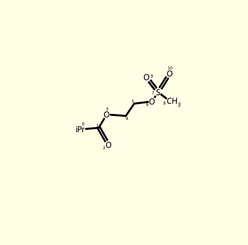 CC(C)C(=O)OCCOS(C)(=O)=O